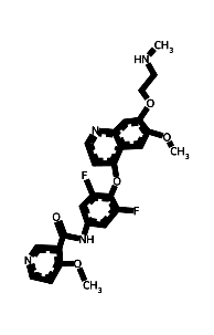 CNCCOc1cc2nccc(Oc3c(F)cc(NC(=O)c4cnccc4OC)cc3F)c2cc1OC